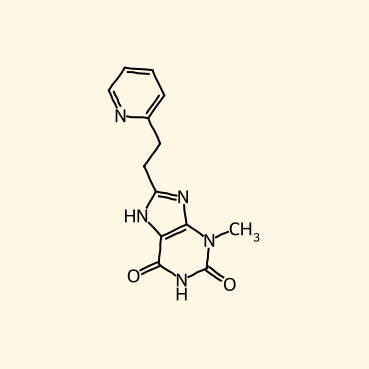 Cn1c(=O)[nH]c(=O)c2[nH]c(CCc3ccccn3)nc21